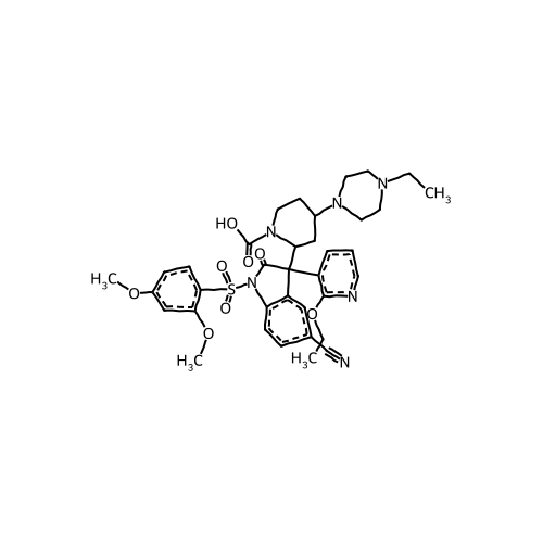 CCOc1ncccc1C1(C2CC(N3CCN(CC)CC3)CCN2C(=O)O)C(=O)N(S(=O)(=O)c2ccc(OC)cc2OC)c2ccc(C#N)cc21